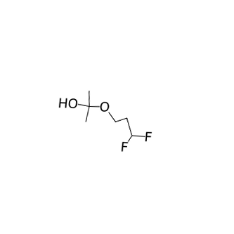 CC(C)(O)OCCC(F)F